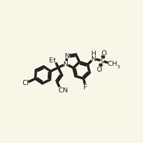 CCC(/C=C/C#N)(c1ccc(Cl)cc1)n1ncc2c(NS(C)(=O)=O)cc(F)cc21